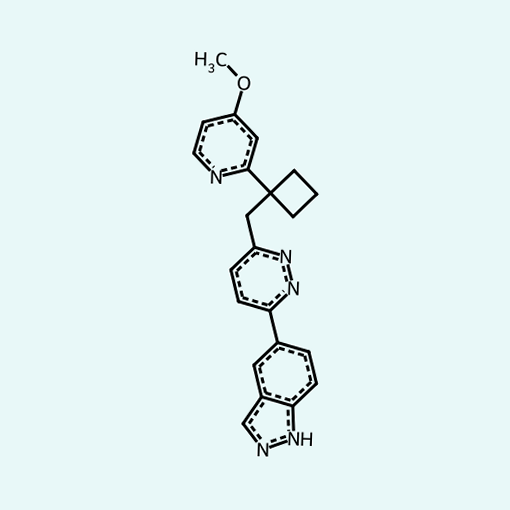 COc1ccnc(C2(Cc3ccc(-c4ccc5[nH]ncc5c4)nn3)CCC2)c1